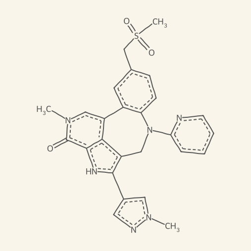 Cn1cc(-c2[nH]c3c(=O)n(C)cc4c3c2CN(c2ccccn2)c2ccc(CS(C)(=O)=O)cc2-4)cn1